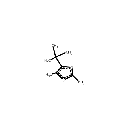 Bc1nc(C(C)(C)C)c(C)s1